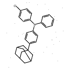 Clc1ccc(N(c2ccccc2)c2ccc(C34CC5CC(CC(C5)C3)C4)cc2)cc1